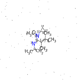 C=C(C)/N=C(\C(C)=C(C)C)N(C)C1CC1